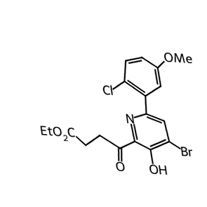 CCOC(=O)CCC(=O)c1nc(-c2cc(OC)ccc2Cl)cc(Br)c1O